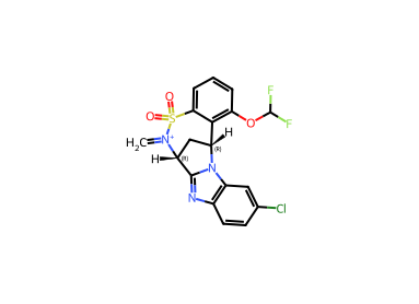 C=[N+]1[C@@H]2C[C@H](c3c(OC(F)F)cccc3S1(=O)=O)n1c2nc2ccc(Cl)cc21